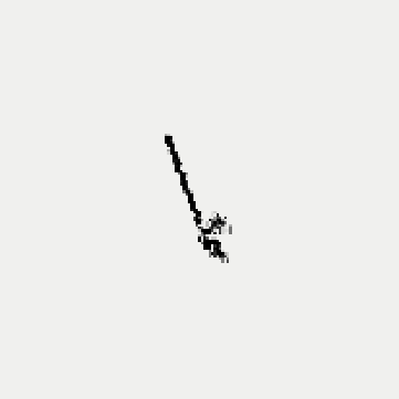 CCCCCCCCCCCCCCCCCCOC[C@@H](COP(=O)(O)OC)Oc1ccc(C#N)nc1